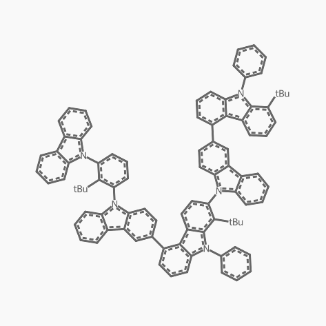 CC(C)(C)c1c(-n2c3ccccc3c3ccccc32)cccc1-n1c2ccccc2c2cc(-c3cccc4c3c3ccc(-n5c6ccccc6c6cc(-c7cccc8c7c7cccc(C(C)(C)C)c7n8-c7ccccc7)ccc65)c(C(C)(C)C)c3n4-c3ccccc3)ccc21